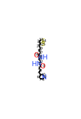 O=C(CC=Cc1cccnc1)NCCNC(=O)CCCCC1CCSS1